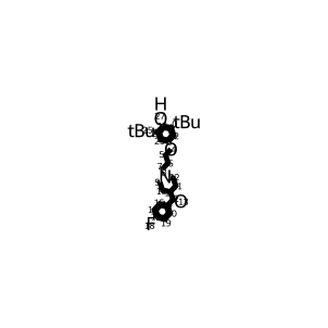 CC(C)(C)c1cc(OCCCN2CCC(C(=O)c3ccc(F)cc3)CC2)cc(C(C)(C)C)c1O